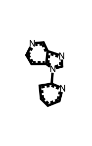 c1ccc(-n2cnc3cnccc32)nc1